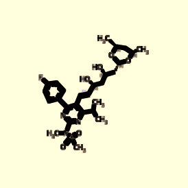 CC(C)c1nc(N(C)S(C)(=O)=O)nc(-c2ccc(F)cc2)c1/C=C/[C@@H](O)C[C@@H](O)C[C@H]1O[C@H](C)C[C@H](C)O1